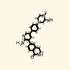 CC(C)[C@H]1CN(c2ccc(-c3cnc(N)c(-c4ccc5c(c4)CCNC5=O)c3)cc2)CCN1C